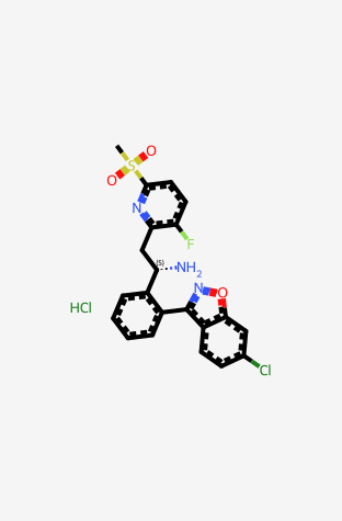 CS(=O)(=O)c1ccc(F)c(C[C@H](N)c2ccccc2-c2noc3cc(Cl)ccc23)n1.Cl